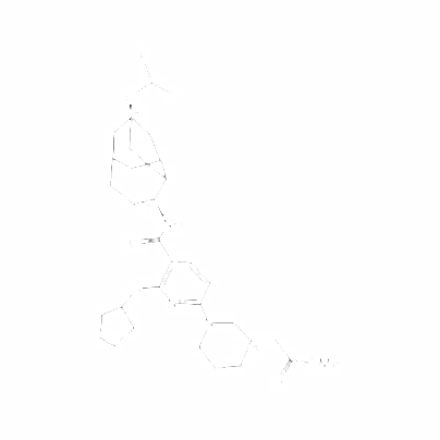 COC(=O)C[C@@H]1CCCN(c2ccc(C(=O)N[C@H]3CCC4CC5C[C@@](OC(F)F)(C4)CC53)c(SC3CCCC3)n2)C1